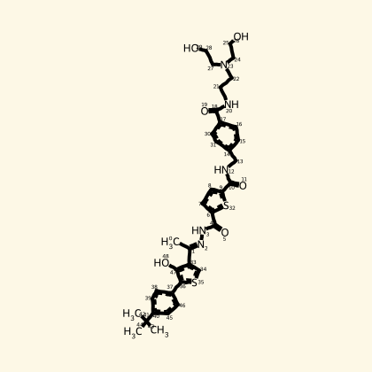 C/C(=N\NC(=O)c1ccc(C(=O)NCc2ccc(C(=O)NCCN(CCO)CCO)cc2)s1)c1csc(-c2ccc(C(C)(C)C)cc2)c1O